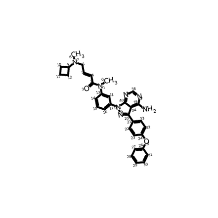 CN(C(=O)C=CCN(C)C1CCC1)c1cccc(-n2nc(-c3ccc(Oc4ccccc4)cc3)c3c(N)ncnc32)c1